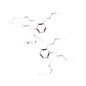 CCCCCCCCCCCCOc1ccc(S(=O)(=O)C(=[N+]=[N-])S(=O)(=O)c2ccc(OCCCCCCCCCCCC)c(OCCCCCCCCCCCC)c2OCCCCCCCCCCCC)c(OCCCCCCCCCCCC)c1OCCCCCCCCCCCC